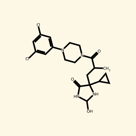 CC(CC1(C2CC2)NC(O)NC1=O)C(=O)N1CCN(c2cc(Cl)cc(Cl)c2)CC1